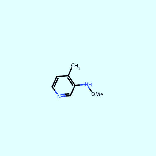 CONc1[c]nccc1C